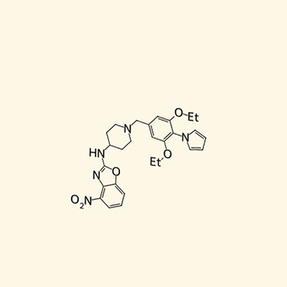 CCOc1cc(CN2CCC(Nc3nc4c([N+](=O)[O-])cccc4o3)CC2)cc(OCC)c1-n1cccc1